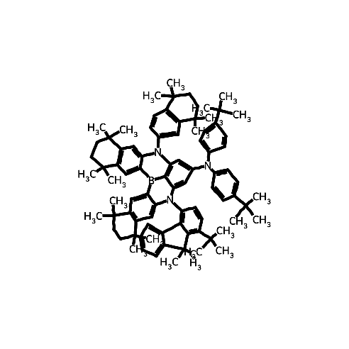 CC(C)(C)c1ccc(N(c2ccc(C(C)(C)C)cc2)c2cc3c4c(c2)N(c2ccc(C(C)(C)C)c5c2-c2ccccc2C5(C)C)c2cc5c(cc2B4c2cc4c(cc2N3c2ccc3c(c2)C(C)(C)CCC3(C)C)C(C)(C)CCC4(C)C)C(C)(C)CCC5(C)C)cc1